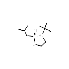 CC(C)C[Si]1(Cl)OCCN1C(C)(C)C